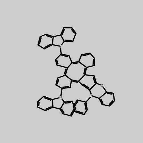 c1ccc(-n2c3ccccc3oc3cc4c5ccccc5c5cc(-n6c7ccccc7c7ccccc76)ccc5c5ccc(-n6c7ccccc7c7ccccc76)cc5c4cc32)cc1